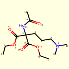 CCOC(=O)C(CCCN(C)C)(NC(C)=O)C(=O)OCC